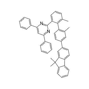 Cc1cc(-c2ccc3c(c2)C(C)(C)c2ccccc2-3)ccc1-c1c(C)cccc1-c1nc(-c2ccccc2)cc(-c2ccccc2)n1